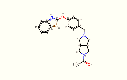 CC(=O)N1CC2CN(Cc3ccc(Oc4nc5ccccc5s4)cc3)CC2C1